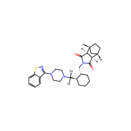 [2H]C([2H])([C@@H]1CCCC[C@H]1CN1C(=O)[C@@H]2[C@H]3CC[C@H](C3)[C@@H]2C1=O)N1CCN(c2nsc3ccccc23)CC1